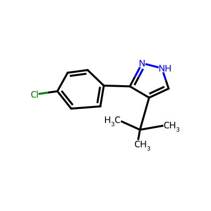 CC(C)(C)c1c[nH]nc1-c1ccc(Cl)cc1